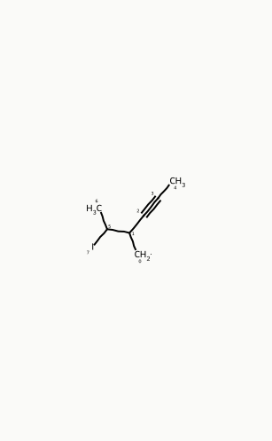 [CH2]C(C#CC)C(C)I